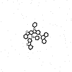 c1ccc(N(c2ccc3sc4ccccc4c3c2)c2c3c(cc4c2c2cc(-c5cc6ccccc6c6ccccc56)ccc2n4-c2ccccc2)oc2ccccc23)cc1